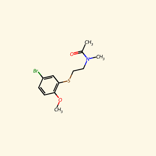 COc1ccc(Br)cc1SCCN(C)C(C)=O